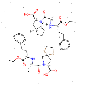 CCOC(=O)[C@H](CCc1ccccc1)N[C@@H](C)C(=O)N1CC2(C[C@H]1C(=O)O)SCCS2.CCOC(=O)[C@H](CCc1ccccc1)N[C@@H](C)C(=O)N1[C@H](C(=O)O)C[C@@H]2CCC[C@@H]21